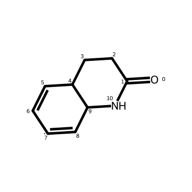 O=C1CCC2C=C[C]=CC2N1